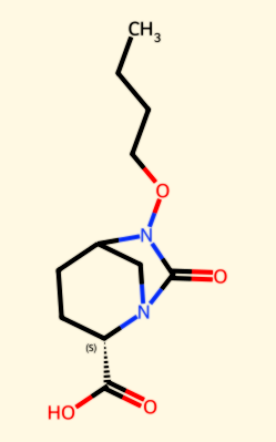 CCCCON1C(=O)N2CC1CC[C@H]2C(=O)O